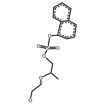 CC(COS(=O)(=O)Oc1cccc2ccccc12)OCC[O]